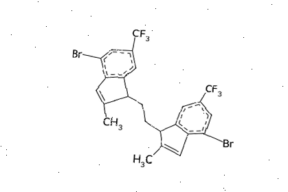 CC1=Cc2c(Br)cc(C(F)(F)F)cc2C1CCC1C(C)=Cc2c(Br)cc(C(F)(F)F)cc21